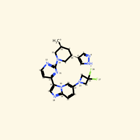 C[C@H]1C[C@H](c2cn[nH]c2)CN(c2nccc(-c3cnc4ccc(N5CC(F)(F)C5)cn34)n2)C1